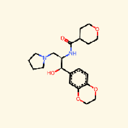 O=C(N[C@H](CN1CCCC1)[C@H](O)c1ccc2c(c1)OCCO2)C1CCOCC1